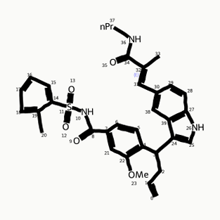 C=CCC(c1ccc(C(=O)NS(=O)(=O)c2ccccc2C)cc1OC)c1c[nH]c2ccc(/C=C(\C)C(=O)NCCC)cc12